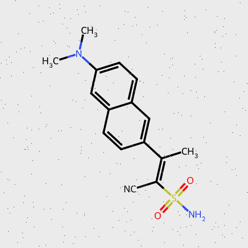 C/C(=C(/C#N)S(N)(=O)=O)c1ccc2cc(N(C)C)ccc2c1